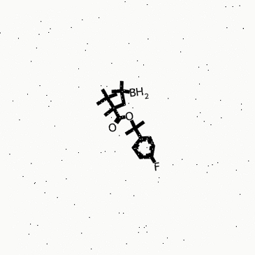 BC(C)(C)CC(C)(C(=O)OC(C)(C)c1ccc(F)cc1)C(C)(C)C